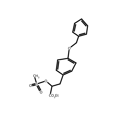 CCOC(=O)C(Cc1ccc(OCc2ccccc2)cc1)OS(C)(=O)=O